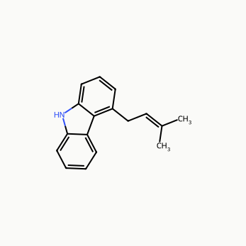 CC(C)=CCc1cccc2[nH]c3ccccc3c12